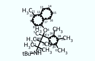 Cc1sc([C@@](C)(Oc2ccc(C)c3ccccc23)C(C)(C)C(C)(C)NC(C)(C)C)c(C)c1C